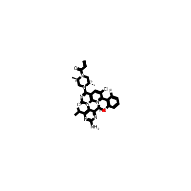 C=CC(=O)N1C[C@H](C)N(c2nc(=O)n(-c3c(C(C)C)nc(N)nc3C(C)C)c3nc(-c4c(O)cccc4F)c(Cl)cc23)C[C@H]1C